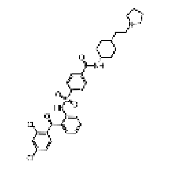 O=C(N[C@H]1CC[C@H](CCN2CCCC2)CC1)c1ccc(S(=O)(=O)Nc2ccccc2C(=O)c2ccc(Cl)cc2Cl)cc1